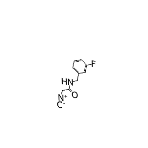 [C-]#[N+]CC(=O)NCc1cccc(F)c1